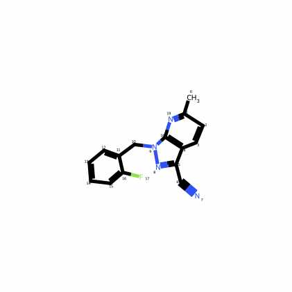 Cc1ccc2c(C#N)nn(Cc3ccccc3F)c2n1